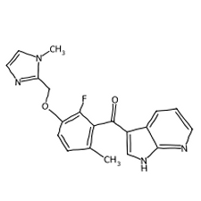 Cc1ccc(OCc2nccn2C)c(F)c1C(=O)c1c[nH]c2ncccc12